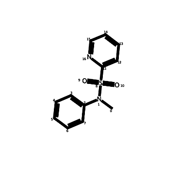 CN(c1c[c]ccc1)S(=O)(=O)c1ccccn1